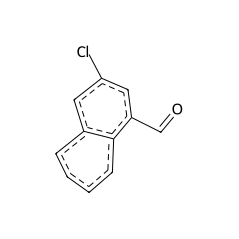 O=Cc1cc(Cl)cc2ccccc12